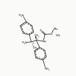 CC(C)(C)OC(=O)N[C@](C)(c1ccc([N+](=O)[O-])cc1)[C@@](C)(N)c1ccc([N+](=O)[O-])cc1.Cl